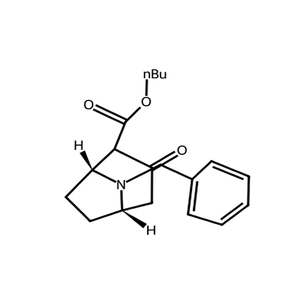 CCCCOC(=O)C1C(=O)C[C@@H]2CC[C@H]1N2Cc1ccccc1